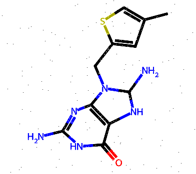 Cc1csc(CN2c3nc(N)[nH]c(=O)c3NC2N)c1